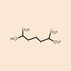 O=C(O)C(CCCC(C(=O)O)C(=O)O)C(=O)O